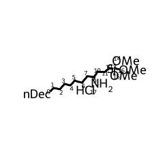 CCCCCCCCCCCCCCCCCC(N)CCC[Si](OC)(OC)OC.Cl